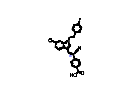 N#C/C(=C\c1cn(CCc2ccc(F)cc2)c2cc(Cl)ccc12)c1ccc(C(=O)O)cc1